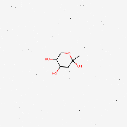 CC1(O)CC(O)C(O)CO1